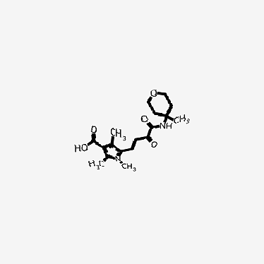 Cc1c(C(=O)O)c(C)n(C)c1CCC(=O)C(=O)NC1(C)CCOCC1